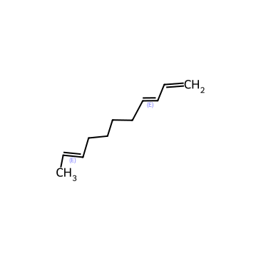 C=C/C=C/CCCC/C=C/C